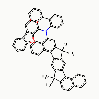 CC1(C)c2cc3c(cc2-c2c1ccc1ccccc21)C(C)(C)c1cc(N(c2ccccc2-c2ccccc2)c2cccc4c2oc2ccccc24)c2ccccc2c1-3